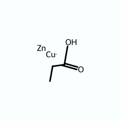 CCC(=O)O.[Cu].[Zn]